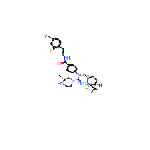 C[C@H]1CN(/C(=N/[C@H]2[C@H]3[C@@H](CC[C@@H]2C)C3(C)C)Nc2ccc(C(=O)NCCc3ccc(Cl)cc3Cl)cc2)CCN1